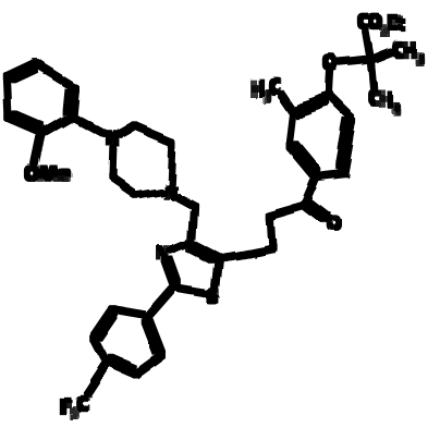 CCOC(=O)C(C)(C)Oc1ccc(C(=O)CCc2sc(-c3ccc(C(F)(F)F)cc3)nc2CN2CCN(c3ccccc3OC)CC2)cc1C